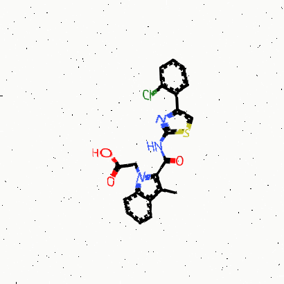 Cc1c(C(=O)Nc2nc(-c3ccccc3Cl)cs2)n(CC(=O)O)c2ccccc12